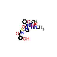 CNC(=O)OC(C)C(=O)NC(C(=O)N1CCC[C@H]1c1nc(C(=O)c2cccc(O)c2)cs1)C1CCCCC1